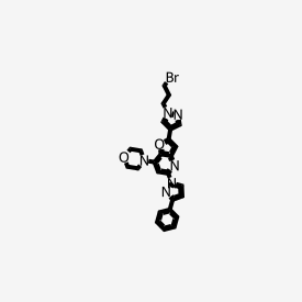 BrCCCn1cc(-c2cc3nc(-n4ccc(-c5ccccc5)n4)cc(N4CCOCC4)c3o2)cn1